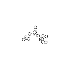 c1ccc(-c2cc(-c3cccc(-c4cccc5c4oc4ccccc45)c3)nc(-c3ccc(-c4nc5ccc6ccccc6c5c5c4oc4ccccc45)cc3)n2)cc1